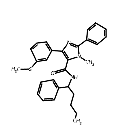 CCCCC(NC(=O)c1c(-c2cccc(SC)c2)nc(-c2ccccc2)n1C)c1ccccc1